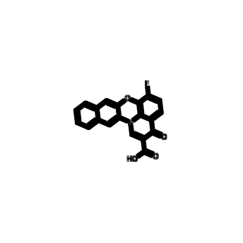 O=C(O)c1cn2c3c(c(F)ccc3c1=O)Oc1cc3ccccc3cc1-2